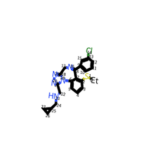 CCSc1cccc2c1C(c1cccc(Cl)c1)=NCc1nnc(CNCC3CC3)n1-2